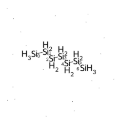 [SiH3][SiH2][SiH2][SiH2][SiH2][SiH2][SiH3]